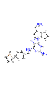 NCCCc1nc2c(NCc3ccc(-c4cccs4)cc3)nc(N)nc2n1C1CCCC1